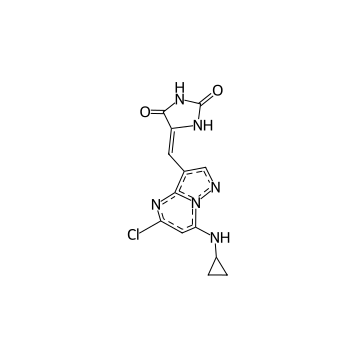 O=C1NC(=O)C(=Cc2cnn3c(NC4CC4)cc(Cl)nc23)N1